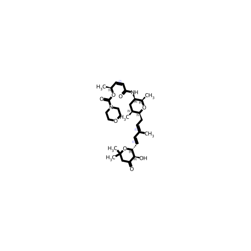 CC(/C=C/[C@H]1OC(C)(C)CC(=O)[C@@H]1O)=C\C[C@@H]1O[C@H](C)[C@H](NC(=O)/C=C\[C@H](C)OC(=O)N2CCOCC2)C[C@@H]1C